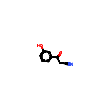 N#CCC(=O)c1cccc(O)c1